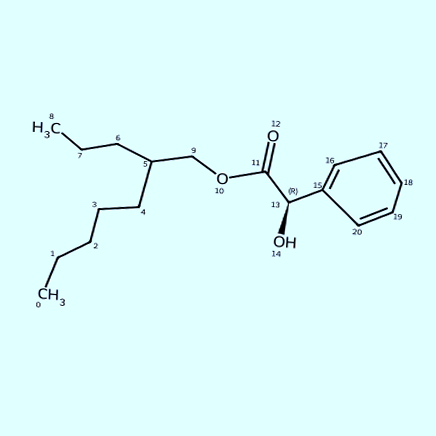 CCCCCC(CCC)COC(=O)[C@H](O)c1ccccc1